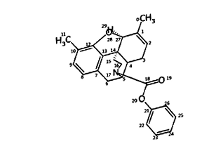 CC1=CCC2C3Cc4ccc(C)c5c4[C@@]2(CCN3C(=O)Oc2ccccc2)[C@H]1O5